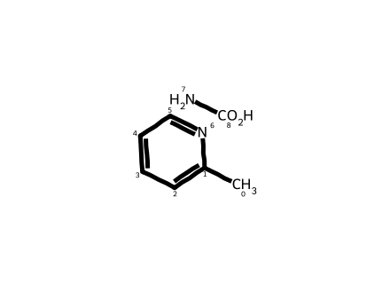 Cc1ccccn1.NC(=O)O